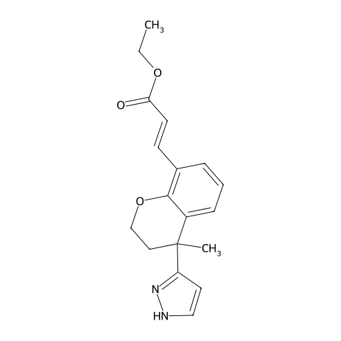 CCOC(=O)/C=C/c1cccc2c1OCCC2(C)c1cc[nH]n1